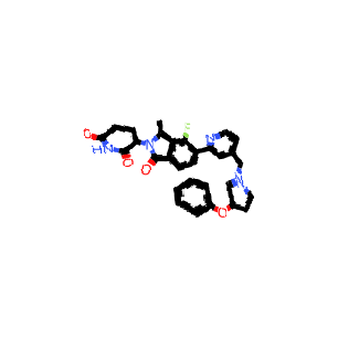 CC1c2c(ccc(-c3cc(CN4CCC(Oc5ccccc5)C4)ccn3)c2F)C(=O)N1C1CCC(=O)NC1=O